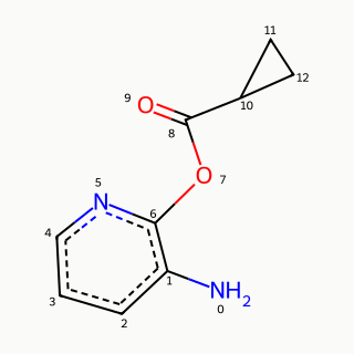 Nc1cccnc1OC(=O)C1CC1